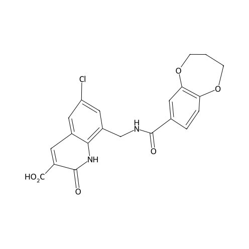 O=C(NCc1cc(Cl)cc2cc(C(=O)O)c(=O)[nH]c12)c1ccc2c(c1)OCCCO2